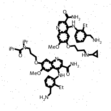 CCc1c(CN)cccc1Nc1c(C(N)=O)cnc2cc(OC)c(OCCCNC3CC3)cc12.CCc1c(CN)cccc1Nc1c(C(N)=O)cnc2cc(OCCCN(C(=O)C(C)C)C(C)C)c(OC)cc12